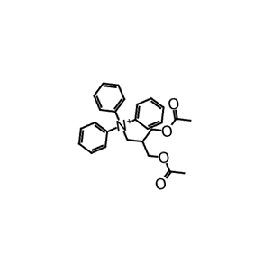 CC(=O)OCC(COC(C)=O)C[N+](c1ccccc1)(c1ccccc1)c1ccccc1